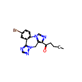 CCCCC(=O)c1ncn2c1Cn1ncnc1-c1cc(Br)ccc1-2